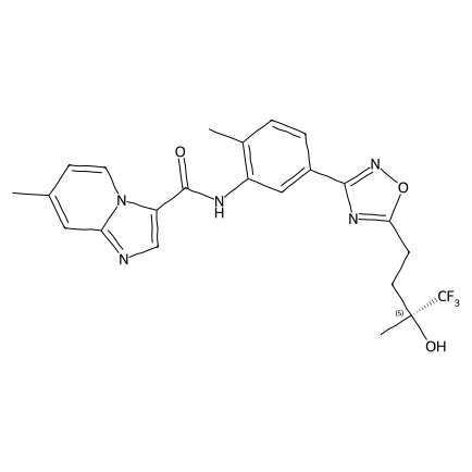 Cc1ccn2c(C(=O)Nc3cc(-c4noc(CC[C@](C)(O)C(F)(F)F)n4)ccc3C)cnc2c1